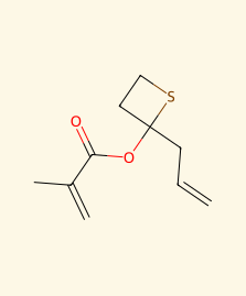 C=CCC1(OC(=O)C(=C)C)CCS1